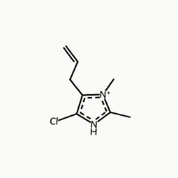 C=CCc1c(Cl)[nH]c(C)[n+]1C